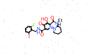 CCN1C(=O)c2c(O)c(=O)c(C(=O)NCc3c(F)cccc3I)cn2N2CCCC[C@@H]12